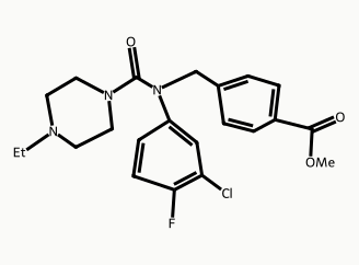 CCN1CCN(C(=O)N(Cc2ccc(C(=O)OC)cc2)c2ccc(F)c(Cl)c2)CC1